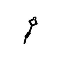 CC#CC1COC1